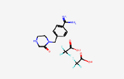 N=C(N)c1ccc(CN2CCNCC2=O)cc1.O=C(O)C(F)(F)F.O=C(O)C(F)(F)F